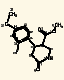 COC(=O)C1CNC(=O)CC1c1ccc(OC)cc1F